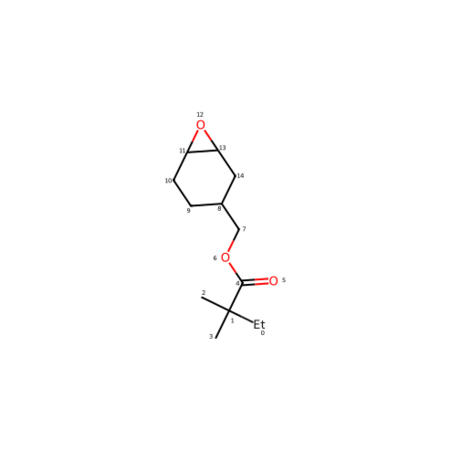 CCC(C)(C)C(=O)OCC1CCC2OC2C1